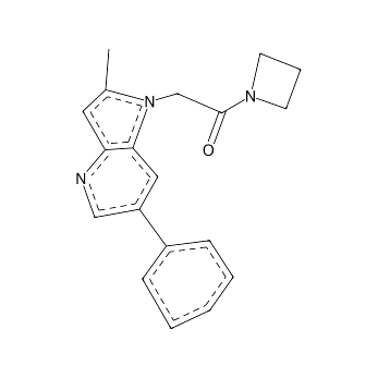 Cc1cc2ncc(-c3ccccc3)cc2n1CC(=O)N1CCC1